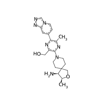 Cc1nc(N2CCC3(CC2)CO[C@@H](C)[C@H]3N)c(CO)nc1-c1ccn2cnnc2c1